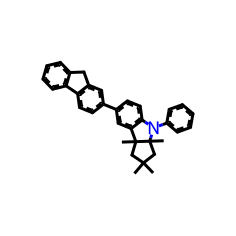 CC1(C)CC2(C)c3cc(-c4ccc5c(c4)Cc4ccccc4-5)ccc3N(c3ccccc3)C2(C)C1